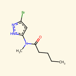 CCCCC(=O)N(C)c1cc(Br)n[nH]1